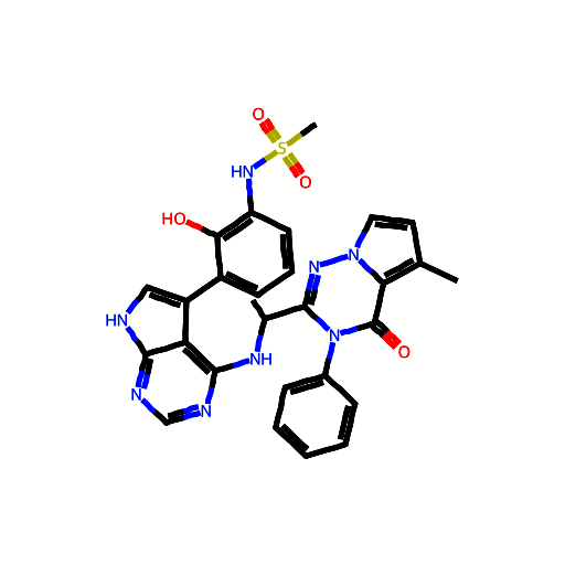 Cc1ccn2nc(C(C)Nc3ncnc4[nH]cc(-c5cccc(NS(C)(=O)=O)c5O)c34)n(-c3ccccc3)c(=O)c12